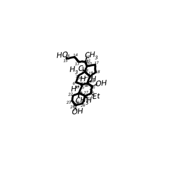 CC[C@H]1[C@@H](O)[C@@H]2[C@H](CC[C@]3(C)C([C@H](C)CCCO)CC[C@@H]23)[C@@]2(C)CC[C@@H](O)C[C@@H]12